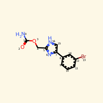 NC(=O)OCc1nc(-c2cccc(Br)c2)c[nH]1